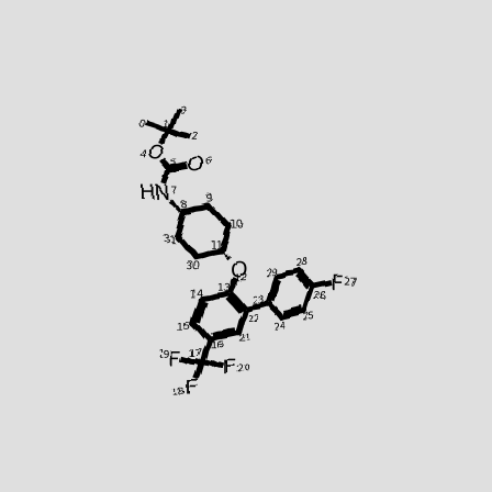 CC(C)(C)OC(=O)N[C@H]1CC[C@H](Oc2ccc(C(F)(F)F)cc2-c2ccc(F)cc2)CC1